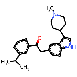 CC(C)c1cccc(C(=O)Cc2ccc3[nH]cc(C4CCN(C)CC4)c3c2)c1